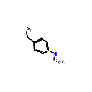 CCCCCNc1ccc(CC(C)C)cc1